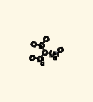 C=C(/N=C(Cl)\N=C(/C)c1ccccc1)c1cc(-c2cc(-c3ccccc3)cc(-c3ccccc3)n2)cc(-c2cc(-c3ccccc3)nc(Cl)n2)c1